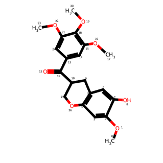 COc1cc2c(cc1O)CC(C(=O)c1cc(OC)c(OC)c(OC)c1)CO2